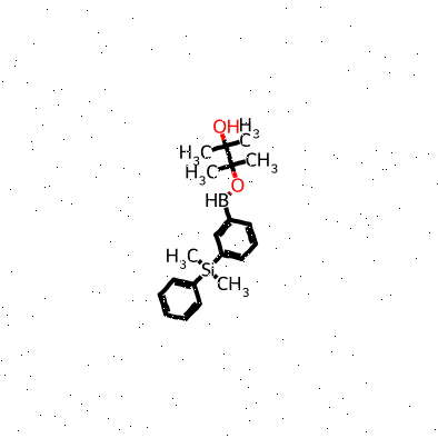 CC(C)(O)C(C)(C)OBc1cccc([Si](C)(C)c2ccccc2)c1